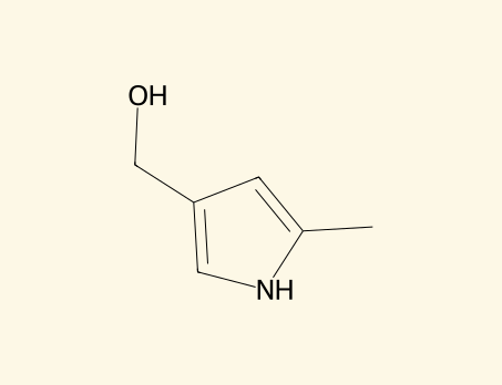 Cc1cc(CO)c[nH]1